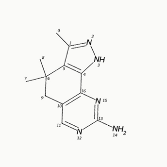 Cc1n[nH]c2c1C(C)(C)Cc1cnc(N)nc1-2